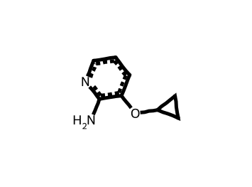 Nc1ncccc1OC1CC1